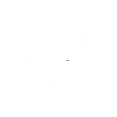 c1ccc(-c2cccc3c2-c2c(cccc2-c2ccc4c5ccccc5n(-c5ccccc5)c4c2)Sc2ccccc2-c2ccccc2S3)cc1